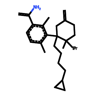 C=C1CCC(C)(C(C)C)C(CCCCC2CC2)(c2c(C)ccc(C(=C)N)c2C)C1